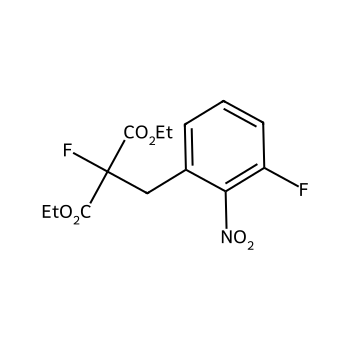 CCOC(=O)C(F)(Cc1cccc(F)c1[N+](=O)[O-])C(=O)OCC